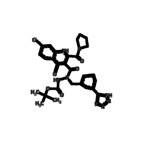 CC(C)(C)OC(=O)NN(Cc1cccc(-c2nnn[nH]2)c1)C(=O)c1c(C(=O)N2CCCC2)[nH]c2cc(Cl)ccc2c1=O